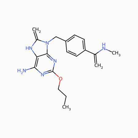 C=C(NC)c1ccc(CN2C(=C)Nc3c(N)nc(OCCC)nc32)cc1